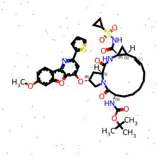 COc1ccc2c(c1)oc1c(O[C@@H]3C[C@H]4C(=O)N[C@]5(C(=O)NS(=O)(=O)C6CC6)C[C@H]5/C=C\CCCCC[C@H](NC(=O)OC(C)(C)C)C(=O)N4C3)cc(-c3cccs3)nc12